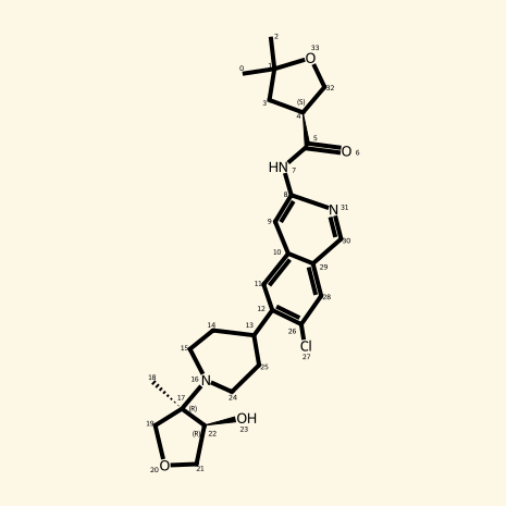 CC1(C)C[C@H](C(=O)Nc2cc3cc(C4CCN([C@]5(C)COC[C@@H]5O)CC4)c(Cl)cc3cn2)CO1